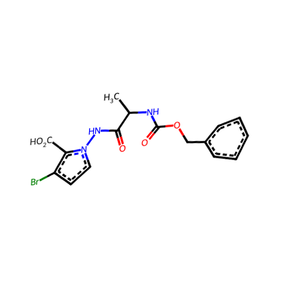 CC(NC(=O)OCc1ccccc1)C(=O)Nn1ccc(Br)c1C(=O)O